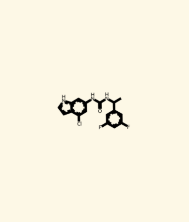 CC(NC(=O)Nc1cc(Cl)c2cc[nH]c2c1)c1cc(F)cc(F)c1